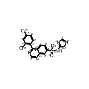 O=S(=O)(Nc1ncns1)c1ccc2c(-c3ccc(Cl)cc3Cl)nccc2c1